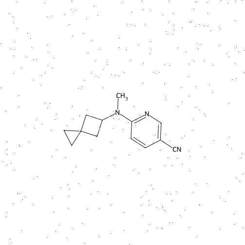 CN(c1ccc(C#N)cn1)C1CC2(CC2)C1